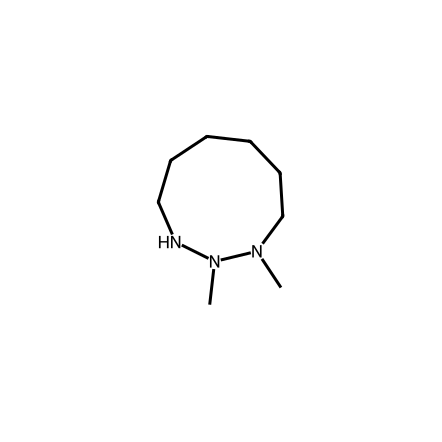 CN1CCCCCCNN1C